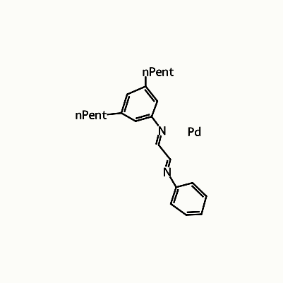 CCCCCc1cc(CCCCC)cc(N=CC=Nc2ccccc2)c1.[Pd]